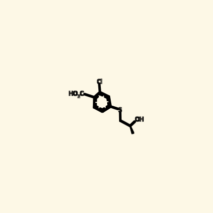 C[C@H](O)CSc1ccc(C(=O)O)c(Cl)c1